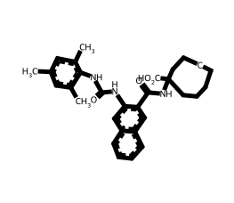 Cc1cc(C)c(NC(=O)Nc2cc3ccccc3cc2C(=O)NC2(C(=O)O)CCCCCCC2)c(C)c1